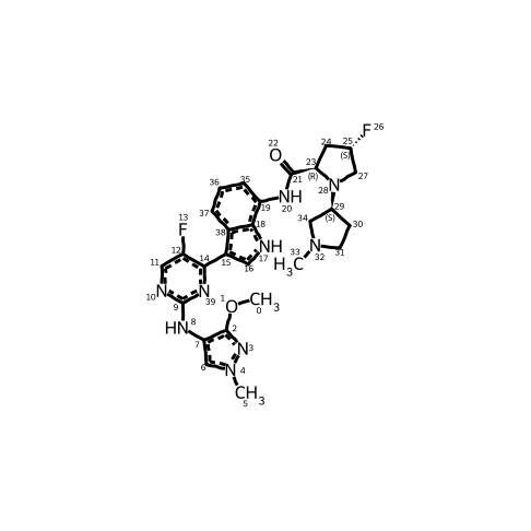 COc1nn(C)cc1Nc1ncc(F)c(-c2c[nH]c3c(NC(=O)[C@H]4C[C@H](F)CN4[C@H]4CCN(C)C4)cccc23)n1